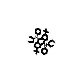 C/C=C\C(=C/C)N(c1ccccc1)c1c2ccc(C(C)(C)C)cc2c(N(C(/C=C\C)=C/C)c2ccccc2)c2ccc(C(C)(C)C)cc12